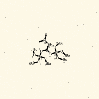 CCC(C)O[Si](OC(C)CC)(OC(C)CC)OC(O[Si](OC(C)CC)(OC(C)CC)OC(C)CC)[SiH2]N(C)C